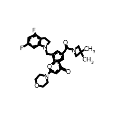 CC1(C)CN(C(=O)c2cc(CN3CCc4c(F)cc(F)cc43)c3oc(N4CCOCC4)cc(=O)c3c2)C1